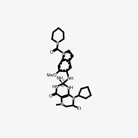 CCC1CN(C)C2=C(N[C@@](N)(Nc3cc4ccn(C(=O)N5CCCCC5)c4cc3OC)NC2=O)N1C1CCCC1